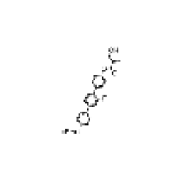 C=C(CO)C(=O)Oc1ccc(-c2ccc(-c3ccc(CCCCC)cc3)cc2F)cc1